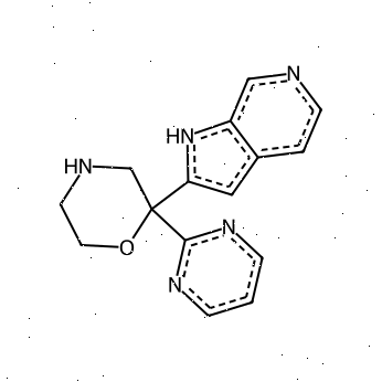 c1cnc(C2(c3cc4ccncc4[nH]3)CNCCO2)nc1